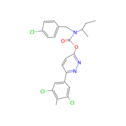 CCC(C)N(Cc1ccc(Cl)cc1)C(=O)Oc1ccc(-c2cc(Cl)c(C)c(Cl)c2)nn1